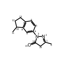 CC1=NN(c2ccc3c(c2)C(C)CC3)C(=O)C1